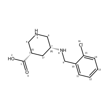 O=C(O)[C@@H]1CNC[C@H](NCc2ccccc2Cl)C1